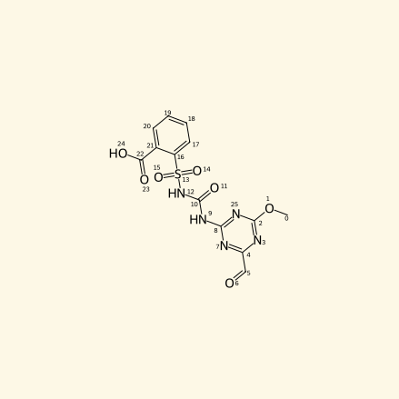 COc1nc(C=O)nc(NC(=O)NS(=O)(=O)c2ccccc2C(=O)O)n1